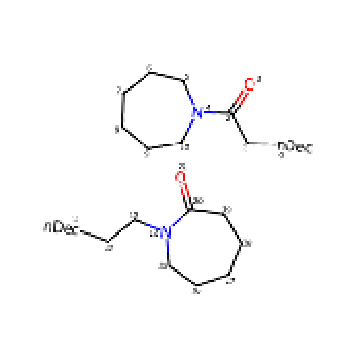 CCCCCCCCCCCC(=O)N1CCCCCC1.CCCCCCCCCCCCN1CCCCCC1=O